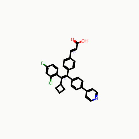 O=C(O)/C=C/c1ccc(/C(=C(\c2ccc(F)cc2Cl)C2CCC2)c2ccc(-c3ccncc3)cc2)cc1